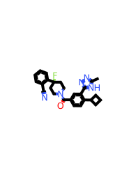 Cc1nnc(-c2cc(C(=O)N3CCC(F)(c4ccccc4C#N)CC3)ccc2C2CCC2)[nH]1